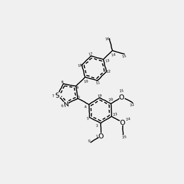 COc1cc(-c2nscc2-c2ccc(C(C)C)cc2)cc(OC)c1OC